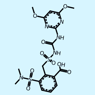 COc1cc(OC)nc(NC(=O)NS(=O)(=O)Cc2c(C(=O)O)cccc2S(=O)(=O)N(C)C)n1